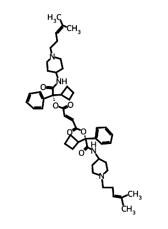 CC(C)=CCCN1CCC(NC(=O)[C@](OC(=O)/C=C/C(=O)O[C@@](C(=O)NC2CCN(CCC=C(C)C)CC2)(c2ccccc2)C2CCC2)(c2ccccc2)C2CCC2)CC1